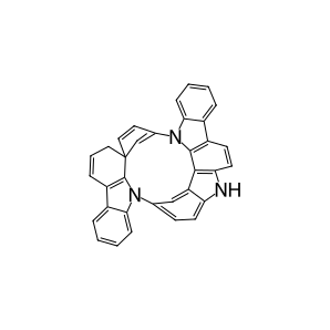 C1=Cc2c3n(c4ccccc24)-c2ccc4[nH]c5ccc6c7ccccc7n(c6c5c4c2)C2=CC3(C=C2)C1